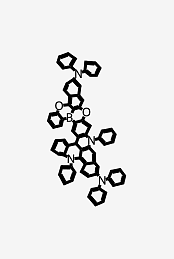 c1ccc(N(c2ccccc2)c2ccc3c4c5c(cc3c2)Oc2cc3c(cc2B5c2ccccc2O4)C2c4ccccc4N(c4ccccc4)c4c2c(cc2cc(N(c5ccccc5)c5ccccc5)ccc42)N3c2ccccc2)cc1